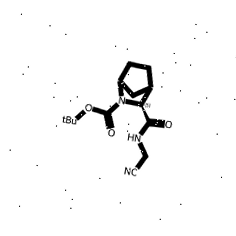 CC(C)(C)OC(=O)N1C2CCC(C2)[C@H]1C(=O)NCC#N